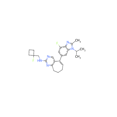 Cc1nc2c(F)cc(C3=CCCCc4nc(NCC5(F)CCC5)ncc43)cc2n1C(C)C